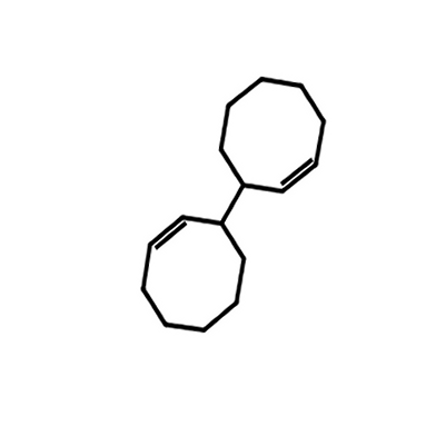 C1=CC(C2C=CCCCCC2)CCCCC1